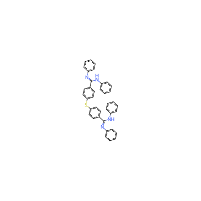 c1ccc(N=C(Nc2ccccc2)c2ccc(Sc3ccc(C(=Nc4ccccc4)Nc4ccccc4)cc3)cc2)cc1